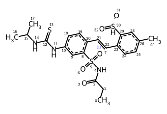 CCC(=O)NS(=O)(=O)c1cc(NC(=S)NC(C)C)ccc1/C=C/c1ccc(C)cc1[SH](=O)=O